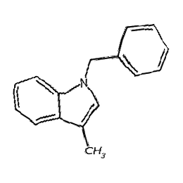 Cc1cn(Cc2ccccc2)c2ccccc12